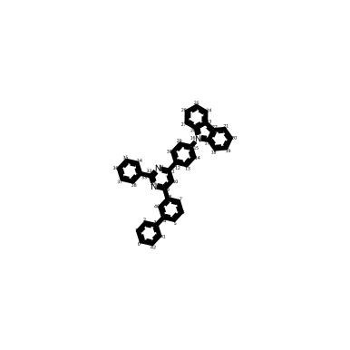 c1ccc(-c2cccc(-c3cc(-c4ccc(-n5c6ccccc6c6ccccc65)cc4)nc(-c4ccccc4)n3)c2)cc1